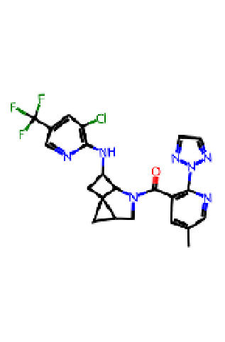 Cc1cnc(-n2nccn2)c(C(=O)N2CC3CC34CC(Nc3ncc(C(F)(F)F)cc3Cl)C24)c1